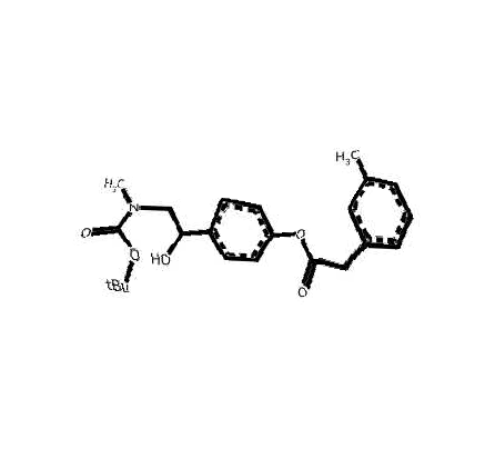 Cc1cccc(CC(=O)Oc2ccc(C(O)CN(C)C(=O)OC(C)(C)C)cc2)c1